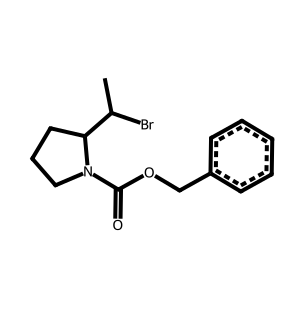 CC(Br)C1CCCN1C(=O)OCc1ccccc1